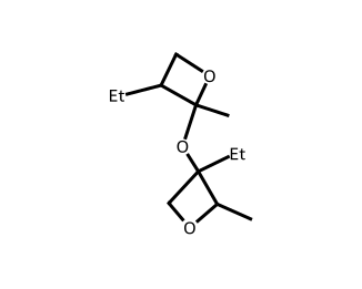 CCC1COC1(C)OC1(CC)COC1C